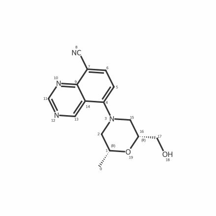 C[C@@H]1CN(c2ccc(C#N)c3ncncc23)C[C@H](CO)O1